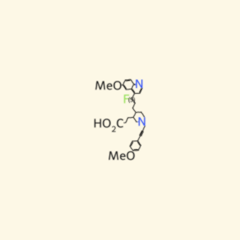 COc1ccc(C#CCN2CCC(CC[C@H](F)c3ccnc4ccc(OC)cc34)C(CCC(=O)O)C2)cc1